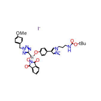 COc1ccc(Cn2nnc([C@H](COc3ccc(-c4cn(CCCNC(=O)OC(C)(C)C)[n+](C)c4)cc3)ON3C(=O)c4ccccc4C3=O)n2)cc1.[I-]